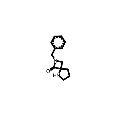 O=C1N(Cc2ccccc2)CC12CCCN2